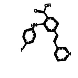 O=C(O)c1ccc(C=Cc2cccnc2)cc1Nc1ccc(F)cc1